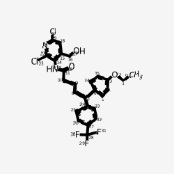 CCOc1ccc(/C(=C\C=C\C(=O)Nc2c(CO)cc(Cl)nc2Cl)c2ccc(C(F)(F)F)cc2)cc1